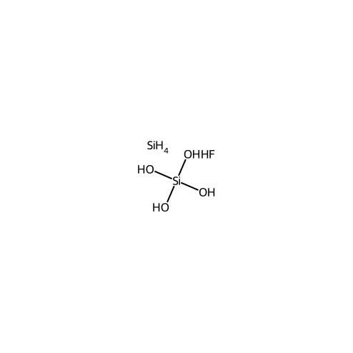 F.O[Si](O)(O)O.[SiH4]